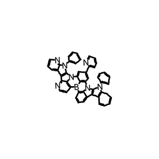 C1=CCc2c(c3c4cccc5c4n(c3n2-c2ccccc2)-c2cc(-c3ccccn3)cc3c2B5c2ccnc4c5c6cccnc6n(-c6ccccc6)c5n-3c24)C=C1